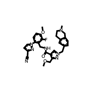 COCc1nn(Cc2ccc3c(c2)CCN(C)C3)cc1C(=O)NCc1c(-n2ccc(C#N)n2)ccc(OC)c1F